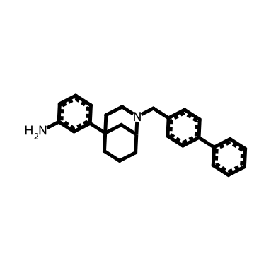 Nc1cccc(C23CCCC(C2)N(Cc2ccc(-c4ccccc4)cc2)CC3)c1